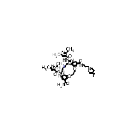 CCn1nc(C)cc1C(=O)Nc1nc2cc(C(N)=O)cc3c2n1C/C=C/Cn1c(NC(=O)c2cc(C)nn2CC)nc2cc(C(=O)NCCCN4CCC(F)CC4)cc(c21)OCCCO3